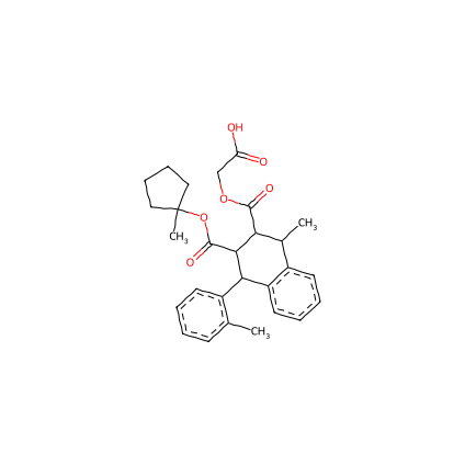 Cc1ccccc1C1c2ccccc2C(C)C(C(=O)OCC(=O)O)C1C(=O)OC1(C)CCCC1